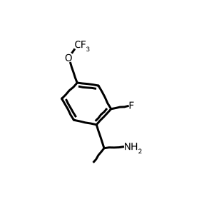 CC(N)c1ccc(OC(F)(F)F)cc1F